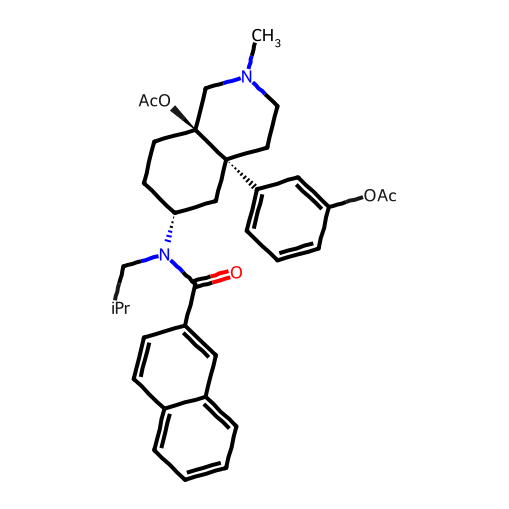 CC(=O)Oc1cccc([C@@]23CCN(C)C[C@@]2(OC(C)=O)CC[C@@H](N(CC(C)C)C(=O)c2ccc4ccccc4c2)C3)c1